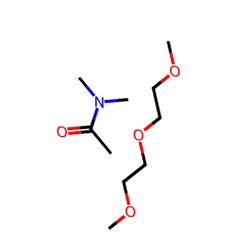 CC(=O)N(C)C.COCCOCCOC